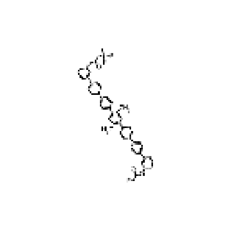 Cc1cc(-c2ccc(-c3ccc(C4=CC(OC(=O)CC(F)(F)F)CC=C4)cc3)cc2)c(C)cc1-c1ccc(-c2ccc(C3=CC(OC(=O)CF)CC=C3)cc2)cc1